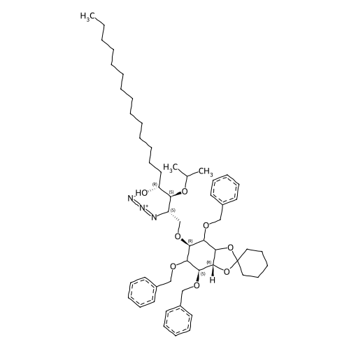 CCCCCCCCCCCCCC[C@@H](O)[C@@H](OC(C)C)[C@H](CO[C@H]1C(OCc2ccccc2)C2OC3(CCCCC3)O[C@@H]2[C@@H](OCc2ccccc2)C1OCc1ccccc1)N=[N+]=[N-]